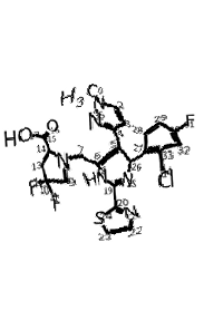 Cn1ccc(C2=C(CN3CC(F)(F)CC3C(=O)O)NC(c3nccs3)=NC2c2ccc(F)cc2Cl)n1